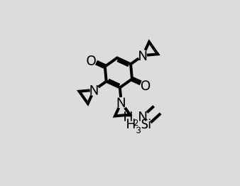 CN.C[SiH3].O=C1C=C(N2CC2)C(=O)C(N2CC2)=C1N1CC1